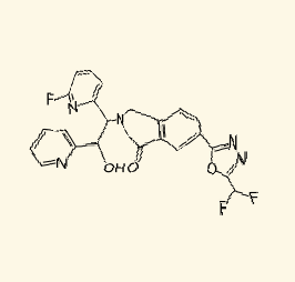 O=C1c2cc(-c3nnc(C(F)F)o3)ccc2CN1C(c1cccc(F)n1)C(O)c1ccccn1